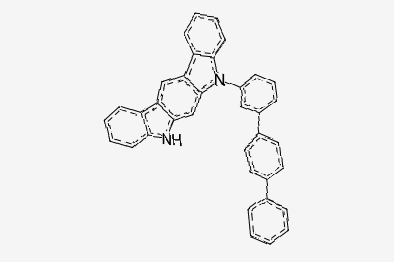 c1ccc(-c2ccc(-c3cccc(-n4c5ccccc5c5cc6c(cc54)[nH]c4ccccc46)c3)cc2)cc1